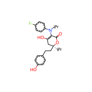 CC(C)N(C1=C(O)C[C@@](CCc2ccc(O)cc2)(C(C)C)OC1=O)c1ccc(F)cc1